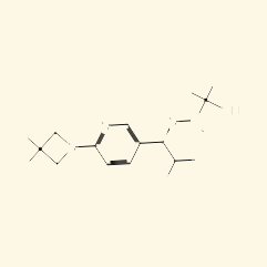 CC(C)[C@H](N[S@+]([O-])C(C)(C)C)c1ccc(N2CC(F)(F)C2)nc1